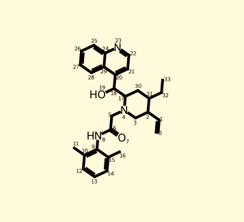 C=CC1CN(CC(=O)Nc2c(C)cccc2C)C(C(O)c2ccnc3ccccc23)CC1CC